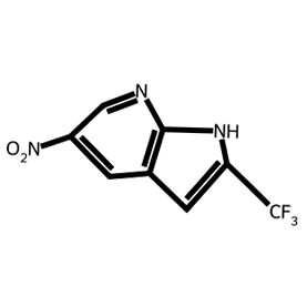 O=[N+]([O-])c1cnc2[nH]c(C(F)(F)F)cc2c1